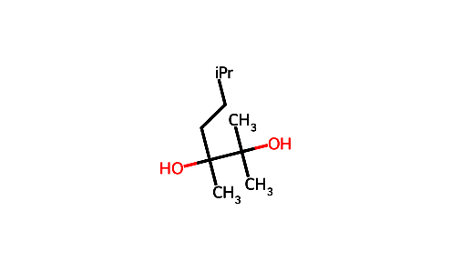 CC(C)CCC(C)(O)C(C)(C)O